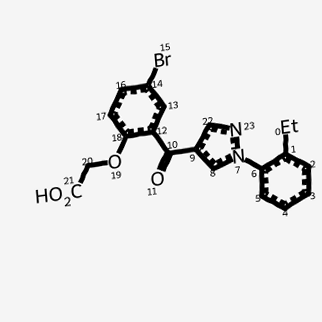 CCc1ccccc1-n1cc(C(=O)c2cc(Br)ccc2OCC(=O)O)cn1